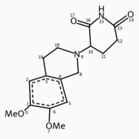 COc1cc2c(cc1OC)CN(C1CCC(=O)NC1=O)CC2